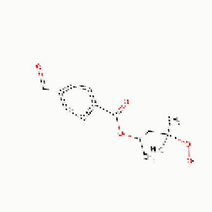 CC(CC(C)(C)O[O])OC(=O)c1ccc([C]=O)cc1